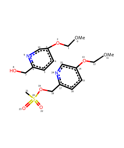 COCOc1ccc(CO)nc1.COCOc1ccc(COS(C)(=O)=O)nc1